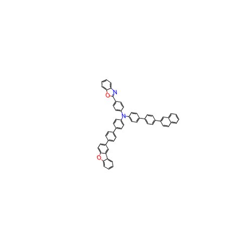 c1ccc2cc(-c3ccc(-c4ccc(N(c5ccc(-c6ccc(-c7ccc8oc9ccccc9c8c7)cc6)cc5)c5ccc(-c6nc7ccccc7o6)cc5)cc4)cc3)ccc2c1